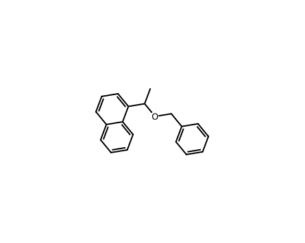 CC(OCc1ccccc1)c1cccc2ccccc12